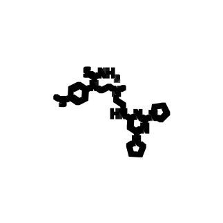 CSc1ccc(N(CCN(C)CCNc2cc(N3CCCC3)nc(N3CCCC3)n2)C(N)=S)cc1